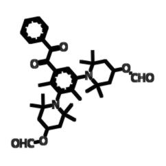 Cc1c(C(=O)C(=O)c2ccccc2)cc(N2C(C)(C)CC(OC=O)CC2(C)C)c(C)c1N1C(C)(C)CC(OC=O)CC1(C)C